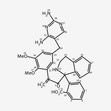 C=C(C(=O)C1(c2ccccc2C(=O)O)NCCc2ccccc21)c1cc(Cc2cnc(N)nc2N)cc(OC)c1OC